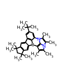 Cc1c2c3n(c(C)c(C)n3c1C)-c1cc(C(C)(C)C)cc3c1B2c1cc2c(cc1-3)C(C)(C)CC2(C)C